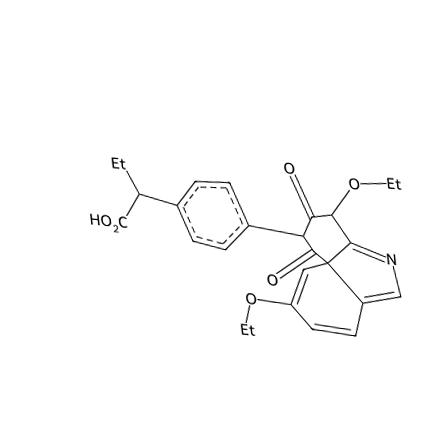 CCOC1=CC23C(=O)C(c4ccc(C(CC)C(=O)O)cc4)C(=O)C(OCC)C2=NC=C3C=C1